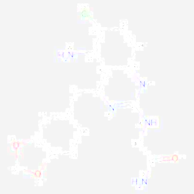 NC(=O)CNc1nc(Cc2ccc3c(c2)OCO3)c2c(N)c(Cl)ccc2n1